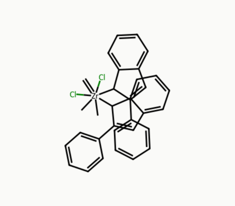 [CH2]=[Zr]([CH3])([CH3])([Cl])([Cl])([CH]1C(c2ccccc2)=Cc2ccccc21)[CH]1C(c2ccccc2)=Cc2ccccc21